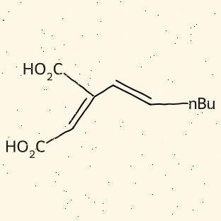 CCCCC=C/C(=C/C(=O)O)C(=O)O